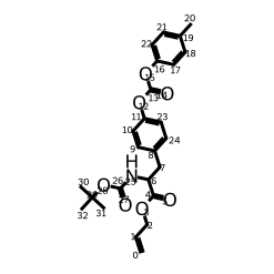 C=CCOC(=O)C(Cc1ccc(OC(=O)Oc2ccc(C)cc2)cc1)NC(=O)OC(C)(C)C